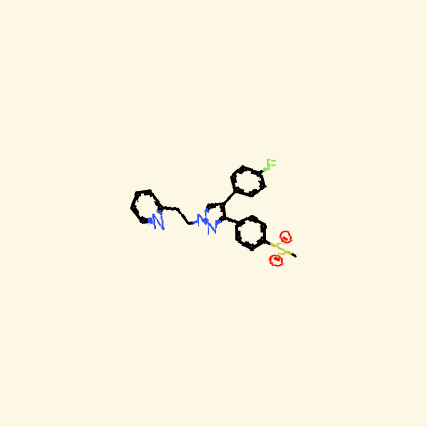 CS(=O)(=O)c1ccc(-c2nn(CCc3ccccn3)cc2-c2ccc(F)cc2)cc1